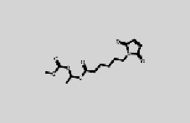 CSC(=O)OC(C)OC(=O)CCCCCN1C(=O)C=CC1=O